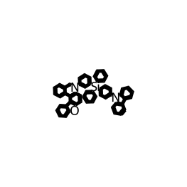 c1ccc2c(c#1)c1ccccc1n2-c1ccc([Si](c2ccccc2)(c2ccccc2)c2cccc(N3Cc4ccccc4-c4c3ccc3oc5ccccc5c43)c2)cc1